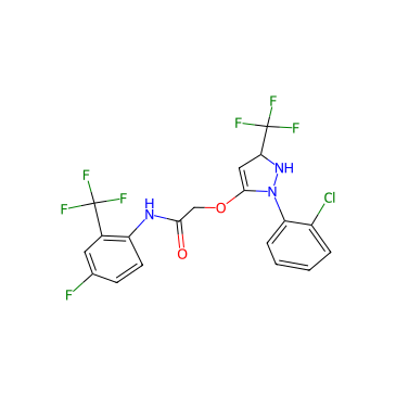 O=C(COC1=CC(C(F)(F)F)NN1c1ccccc1Cl)Nc1ccc(F)cc1C(F)(F)F